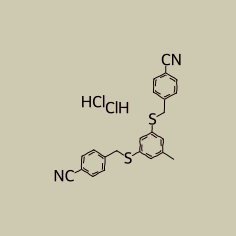 Cc1cc(SCc2ccc(C#N)cc2)cc(SCc2ccc(C#N)cc2)c1.Cl.Cl